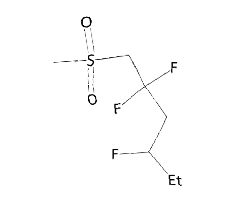 CCC(F)CC(F)(F)CS(C)(=O)=O